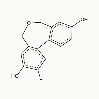 Oc1ccc2c(c1)COCc1cc(O)c(F)cc1-2